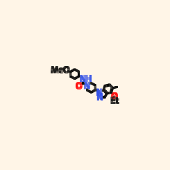 CCOc1c(C)ccc2c1cnn2C1CCN(C(=O)N[C@H]2CC[C@H](OC)CC2)CC1